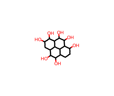 OC1CC2C(O)C(O)C3CCC(O)C4C(O)C(O)C(C1O)C2C34